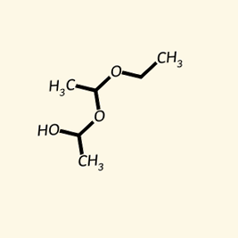 CCOC(C)OC(C)O